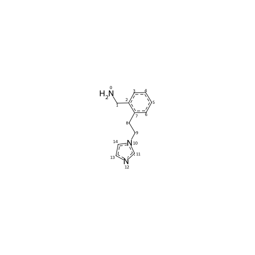 NCc1ccccc1CCn1[c]ncc1